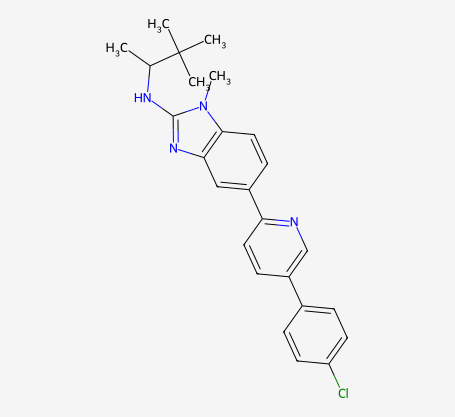 CC(Nc1nc2cc(-c3ccc(-c4ccc(Cl)cc4)cn3)ccc2n1C)C(C)(C)C